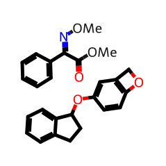 CON=C(C(=O)OC)c1ccccc1.c1ccc2c(c1)CCC2Oc1ccc2c(c1)CO2